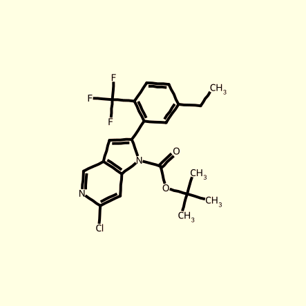 CCc1ccc(C(F)(F)F)c(-c2cc3cnc(Cl)cc3n2C(=O)OC(C)(C)C)c1